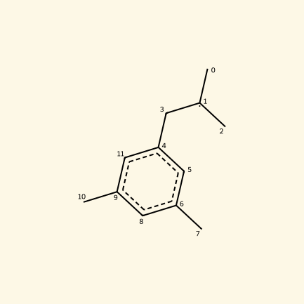 C[C](C)Cc1cc(C)cc(C)c1